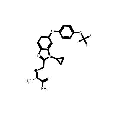 C[C@H](NCc1nc2c(n1C1CC1)=CC(Oc1ccc(OC(F)(F)F)cc1)CC=2)C(N)=O